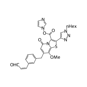 CCCCCCn1cc(-c2sc3c(OC)c(Cc4cccc(/C=C\C=O)c4)cc(=O)n3c2C(=O)On2ccnc2)nn1